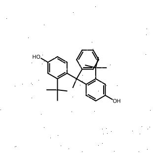 CC(C)(C)c1cc(O)ccc1C(C)(c1ccccc1)c1ccc(O)cc1C(C)(C)C